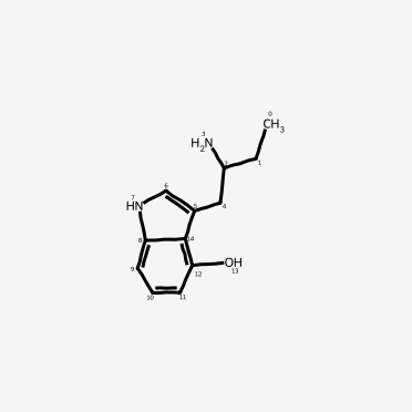 CCC(N)Cc1c[nH]c2cccc(O)c12